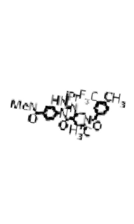 CNC(=O)c1ccc(-n2c(NC(C)C)nc3c(c2=O)C[C@@H](C)N(C(=O)c2ccc(C)c(C(F)(F)F)c2)C3)cc1